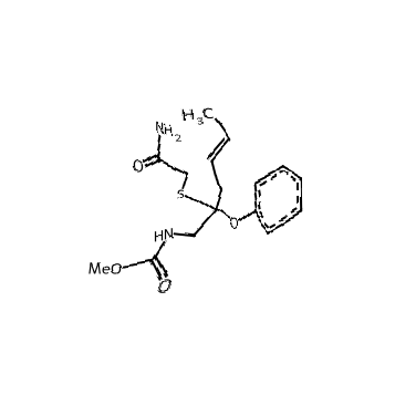 CC=CCC(CNC(=O)OC)(Oc1ccccc1)SCC(N)=O